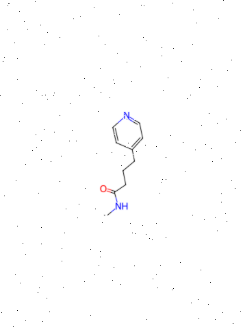 [CH2]NC(=O)CCCc1ccncc1